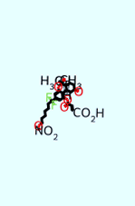 CC1(C)Oc2cc(C(F)(F)CCCCCCO[N+](=O)[O-])cc(OC(=O)C=CC(=O)O)c2[C@@H]2CC(=O)CC[C@H]21